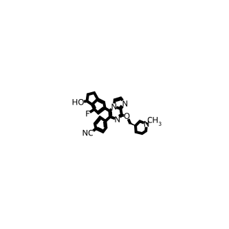 CN1CCC[C@@H](COc2nc(-c3ccc(C#N)cc3)c(-c3cc(F)c4c(c3)CCC4O)n3ccnc23)C1